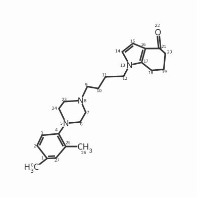 Cc1ccc(N2CCN(CCCCn3ccc4c3CCCC4=O)CC2)c(C)c1